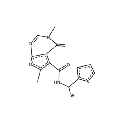 C=C1c2c(oc(C)c2C(=O)NC(CCC)c2cccs2)N=CN1C